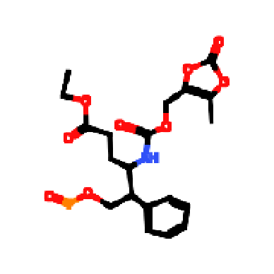 CCOC(=O)CCC(NC(=O)OCc1oc(=O)oc1C)C(COP=O)c1ccccc1